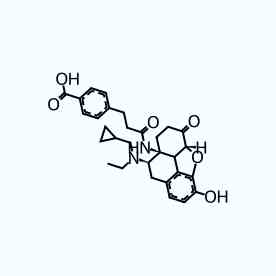 CCN(CC1CC1)[C@@H]1Cc2ccc(O)c3c2C2[C@@H](O3)C(=O)CC[C@]21NC(=O)CCc1ccc(C(=O)O)cc1